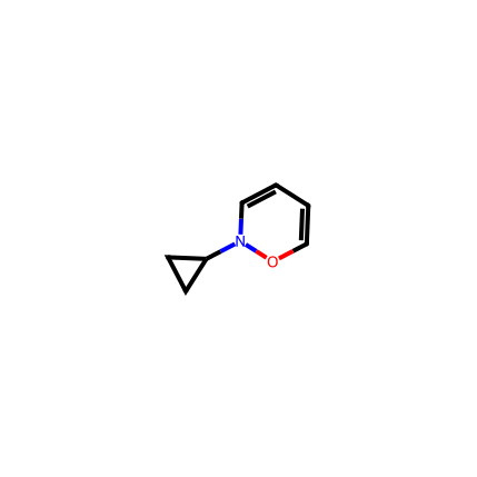 C1=CON(C2CC2)C=C1